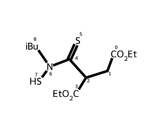 CCOC(=O)CC(C(=O)OCC)C(=S)N(S)C(C)CC